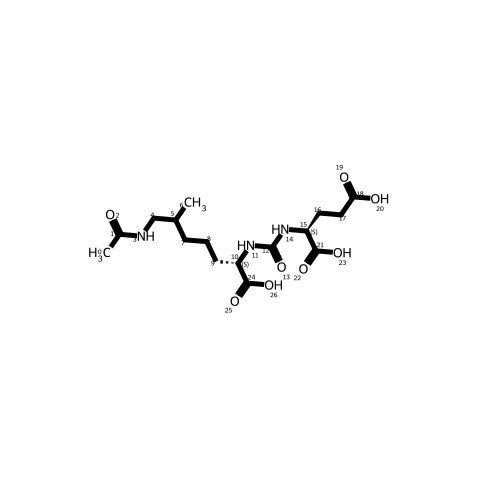 CC(=O)NCC(C)CCC[C@H](NC(=O)N[C@@H](CCC(=O)O)C(=O)O)C(=O)O